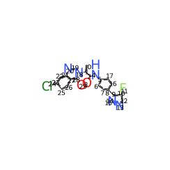 C=C(C(=O)Nc1ccc(-c2c(F)cnn2C)cc1)n1cnc2cc(Cl)ccc2c1=O